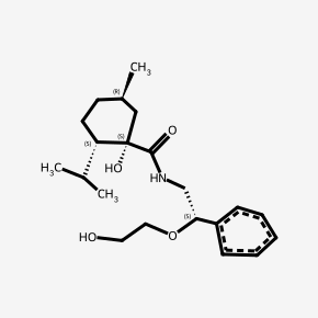 CC(C)[C@@H]1CC[C@@H](C)C[C@@]1(O)C(=O)NC[C@@H](OCCO)c1ccccc1